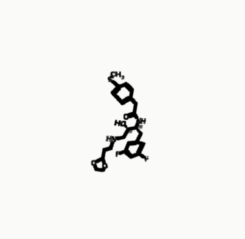 CSc1ccc(CC(=O)N[C@@H](Cc2cc(F)cc(F)c2)[C@@H](O)CNCCC2OCCO2)cc1